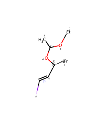 CCOC(C)O[C@@H](/C=C/I)C(C)C